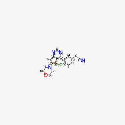 N#CCc1ccc(F)c(-c2ncnc3cc(N4CCOCC4)sc23)c1